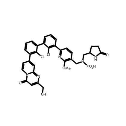 COc1nc(-c2cccc(-c3cccc(-c4ccn5c(=O)cc(CO)nc5c4)c3Cl)c2Cl)ccc1CN(CC1CCC(=O)N1)C(=O)O